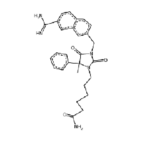 CC1(c2ccccc2)C(=O)N(Cc2ccc3ccc(C(=N)N)cc3c2)C(=O)N1CCCCCC(N)=O